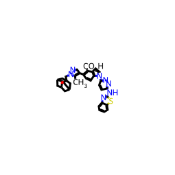 Cc1c(-c2ccc3c(ccn3-c3ccc(Nc4nc5ccccc5s4)nn3)c2C(=O)O)cnn1CC12CC3CC(CC(C3)C1)C2